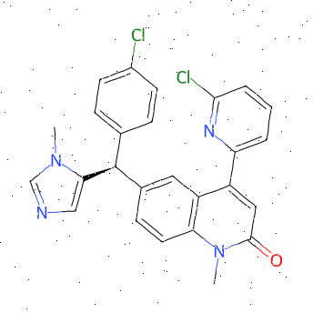 Cn1cncc1[C@@H](c1ccc(Cl)cc1)c1ccc2c(c1)c(-c1cccc(Cl)n1)cc(=O)n2C